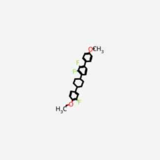 CCOc1ccc(C2CCC(c3ccc(-c4ccc(OC)cc4)c(F)c3F)CC2)cc1F